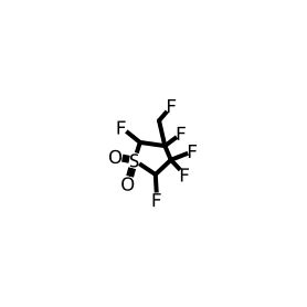 O=S1(=O)C(F)C(F)(F)C(F)(CF)C1F